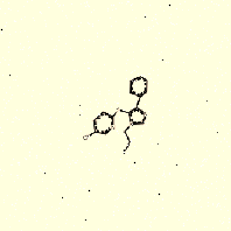 FCCn1cnc(-c2ccccc2)c1Sc1ccc(Cl)cn1